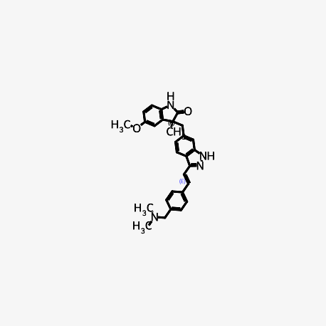 COc1ccc2c(c1)[C@@](C)(Cc1ccc3c(/C=C/c4ccc(CN(C)C)cc4)n[nH]c3c1)C(=O)N2